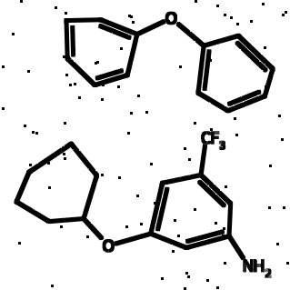 Nc1cc(OC2CCCCC2)cc(C(F)(F)F)c1.c1ccc(Oc2ccccc2)cc1